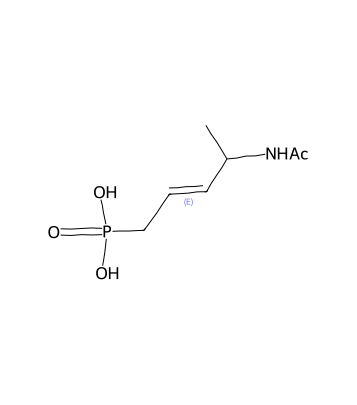 CC(=O)NC(C)/C=C/CP(=O)(O)O